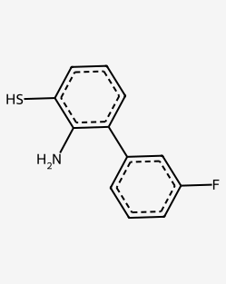 Nc1c(S)cccc1-c1cccc(F)c1